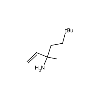 C=CC(C)(N)CCC(C)(C)C